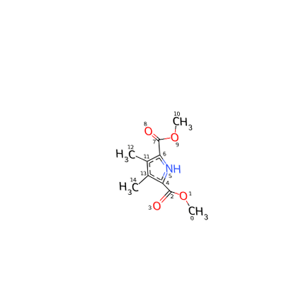 COC(=O)c1[nH]c(C(=O)OC)c(C)c1C